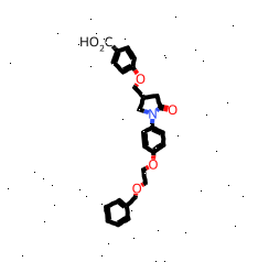 O=C(O)c1ccc(OCC2CC(=O)N(c3ccc(OCCOCc4ccccc4)cc3)C2)cc1